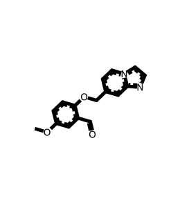 COc1ccc(OCc2ccn3ccnc3c2)c(C=O)c1